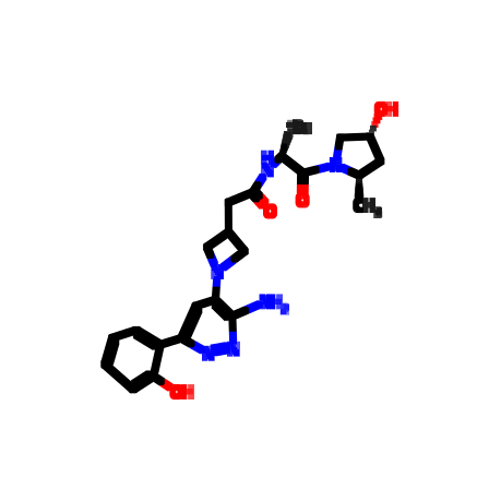 C[C@@H]1C[C@@H](O)CN1C(=O)[C@@H](NC(=O)CC1CN(c2cc(-c3ccccc3O)nnc2N)C1)C(C)(C)C